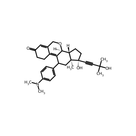 CN(C)c1ccc(C2C[C@@]3(C)[C@@H](CC[C@@]3(O)C#CC(C)(C)O)[C@@H]3OCC4=CC(=O)CCC4=C23)cc1